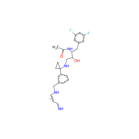 CC(=O)NC(Cc1cc(F)cc(F)c1)C(O)CNC1(c2cccc(CN/C=C\C=N)c2)CC1